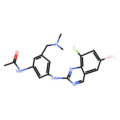 Bc1cc(F)c2nc(Nc3cc(CN(C)C)cc(NC(C)=O)c3)ncc2c1